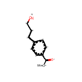 COC(=O)c1ccc(CCCO)cc1